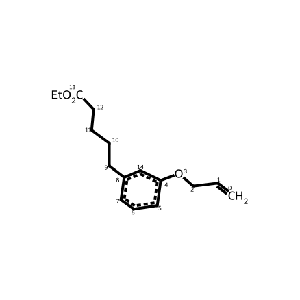 C=CCOc1cccc(CCCCC(=O)OCC)c1